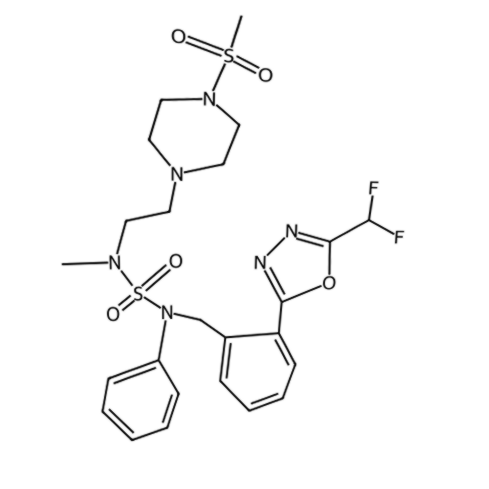 CN(CCN1CCN(S(C)(=O)=O)CC1)S(=O)(=O)N(Cc1ccccc1-c1nnc(C(F)F)o1)c1ccccc1